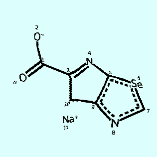 O=C([O-])C1=Nc2[se]cnc2C1.[Na+]